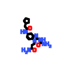 NC(=O)CCn1c(NC(N)=O)nc2cc(NC(=O)CC3CCCC3)ccc21